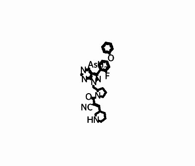 N#CC(=CC1CCCNC1)C(=O)N1CCCC1Cn1nc(-c2ccc(Oc3ccccc3)cc2F)c2c([AsH2])ncnc21